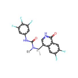 CCN(C(=O)Nc1cc(F)c(F)c(F)c1)[C@@H](C)c1c[nH]c(=O)c2cc(F)c(F)cc12